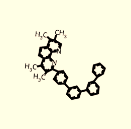 Cc1cnc2c(ccc3c(C)c(C)c(-c4ccc(-c5cccc(-c6cccc(-c7ccccc7)c6)c5)cc4)nc32)c1C